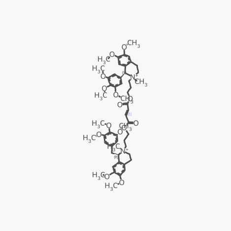 COc1cc2c(cc1OC)[C@H](c1cc(OC)c(OC)c(OC)c1)[N+](C)(CCCOC(=O)/C=C/C(=O)OCCC[N+]1(C)CCc3cc(OC)c(OC)cc3[C@H]1Cc1cc(OC)c(OC)c(OC)c1)CC2